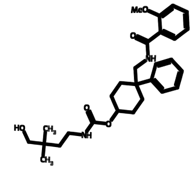 COc1ccccc1C(=O)NCC1(c2ccccc2)CCC(OC(=O)NCCC(C)(C)CO)CC1